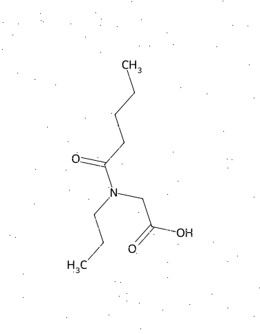 CCCCC(=O)N(CCC)CC(=O)O